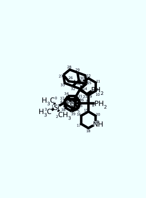 C[Si](C)(C)[C]12[CH]3[C]4(C(P)(C5CCCNC5)C5CCCNC5)[C]5(C6(CP)C7CC8CC(C7)CC6C8)[CH]1[Fe]34521678[CH]2[CH]1[CH]6[CH]7[CH]28